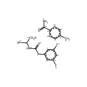 CCCC(NC(=O)Cc1cc(F)cc(F)c1)C(=O)O.Cc1cnc(C(N)=O)nc1